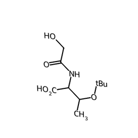 CC(OC(C)(C)C)C(NC(=O)CO)C(=O)O